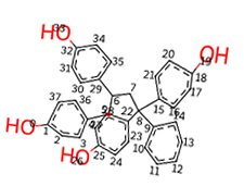 Oc1ccc(CC(CC(c2ccccc2)(c2ccc(O)cc2)c2ccc(O)cc2)c2ccc(O)cc2)cc1